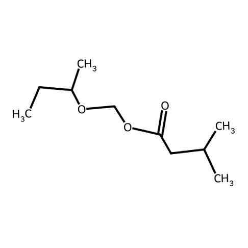 CCC(C)OCOC(=O)CC(C)C